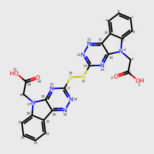 O=C(O)Cn1c2ccccc2c2nnc(SSc3nnc4c5ccccc5n(CC(=O)O)c4n3)nc21